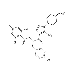 Cc1cc(Cl)c(C(=O)CN(Cc2ccc(C(F)(F)F)cc2)C(=O)c2cnn([C@H]3CC[C@H](C(=O)O)CC3)c2C(F)(F)F)c(Cl)c1